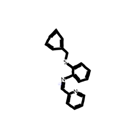 C(=N/c1ccccc1SCc1ccccc1)/c1ccccn1